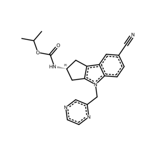 CC(C)OC(=O)N[C@@H]1Cc2c(n(Cc3cnccn3)c3ccc(C#N)cc23)C1